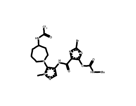 Cn1ncc(NC(=O)c2nc(Br)sc2OC(=O)NC(C)(C)C)c1N1CCCC(NC(=O)C(F)(F)F)CC1